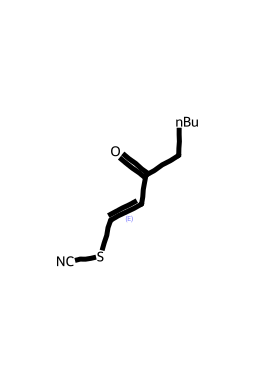 CCCCCC(=O)/C=C/SC#N